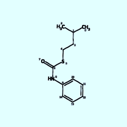 CC(C)CCSC(=O)Nc1ccccc1